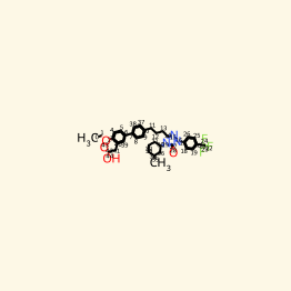 CCOc1ccc(-c2ccc(CCCc3nn(-c4ccc(C(F)(F)F)cc4)c(=O)n3C3CCCC(C)C3)cc2)cc1CC(=O)O